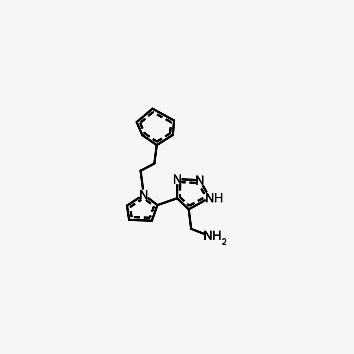 NCc1[nH]nnc1-c1cccn1CCc1ccccc1